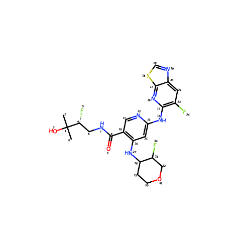 CC(C)(O)[C@H](F)CNC(=O)c1cnc(Nc2nc3scnc3cc2F)cc1NC1CCOCC1F